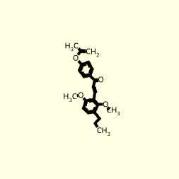 C=C(C)Oc1ccc(C(=O)C=Cc2c(OC)ccc(CCC)c2OC)cc1